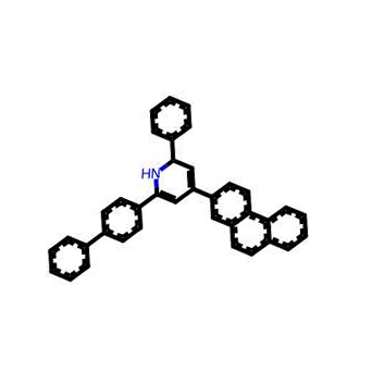 C1=C(c2ccc3c(ccc4ccccc43)c2)C=C(c2ccc(-c3ccccc3)cc2)NC1c1ccccc1